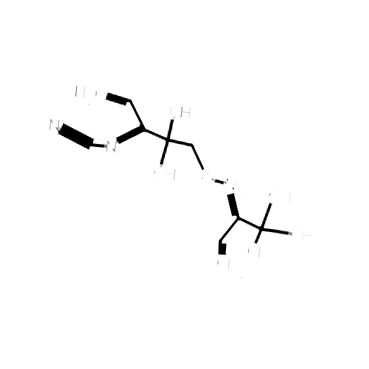 C=C/C(=N\OCC(C)(C)/C(C=C)=N/C#N)C(C)(C)C